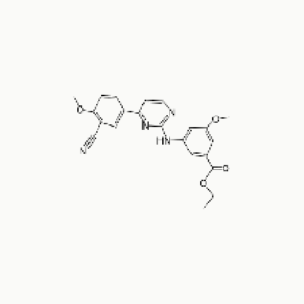 CCOC(=O)c1cc(Nc2nccc(-c3ccc(OC)c(C#N)c3)n2)cc(OC)c1